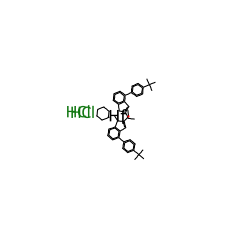 CCC1=Cc2c(-c3ccc(C(C)(C)C)cc3)cccc2[CH]1[Hf]1([CH]2C(CC)=Cc3c(-c4ccc(C(C)(C)C)cc4)cccc32)[CH]2CCCC[CH]21.Cl.Cl